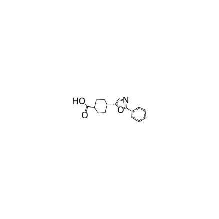 O=C(O)[C@H]1CC[C@H](c2cnc(-c3ccccc3)o2)CC1